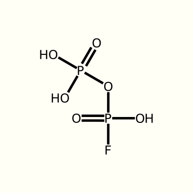 O=P(O)(O)OP(=O)(O)F